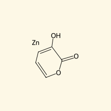 O=c1occcc1O.[Zn]